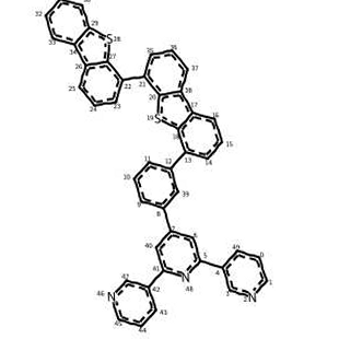 c1cncc(-c2cc(-c3cccc(-c4cccc5c4sc4c(-c6cccc7c6sc6ccccc67)cccc45)c3)cc(-c3cccnc3)n2)c1